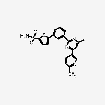 Cc1cc(-c2ccc(C(F)(F)F)nc2)nc(-c2cccc(-c3ccc(S(N)(=O)=O)s3)c2)n1